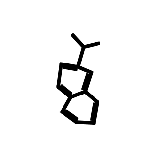 CC(C)c1ccc2[c]cccc2c1